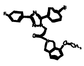 COc1cccc2c1CN(C(=O)Cn1nc(-c3ccc(F)cc3)nc1-c1ccc(F)cc1)C2